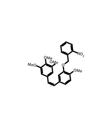 COc1ccc(/C=C\c2cc(OC)c(OC)c(OC)c2)cc1OCc1ccccc1[N+](=O)[O-]